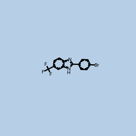 FC(F)(F)c1ccc2nc(-c3ccc(Br)cc3)[nH]c2c1